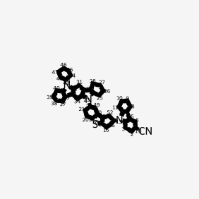 N#Cc1ccc2c(c1)c1ccccc1n2-c1ccc2sc3ccc(-n4c5ccccc5c5cc6c(cc54)c4ccccc4n6-c4ccccc4)cc3c2c1